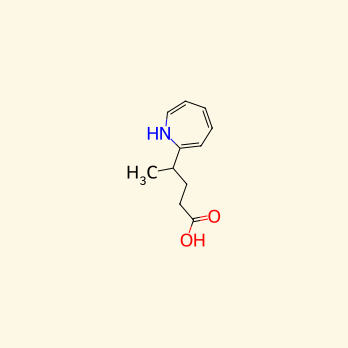 CC(CCC(=O)O)C1=CC=CC=CN1